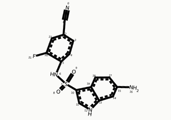 N#Cc1ccc(NS(=O)(=O)c2c[nH]c3cc(N)ccc23)c(F)c1